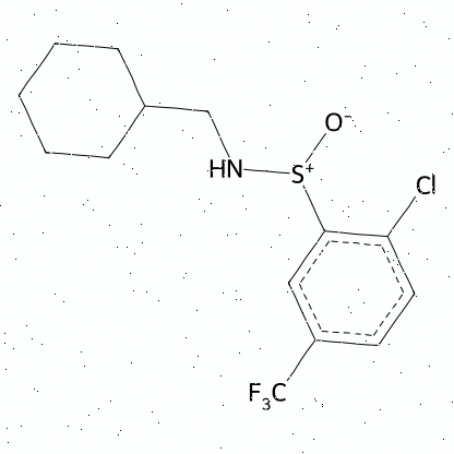 [O-][S+](NCC1CCCCC1)c1cc(C(F)(F)F)ccc1Cl